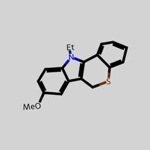 CCn1c2c(c3cc(OC)ccc31)CSc1ccccc1-2